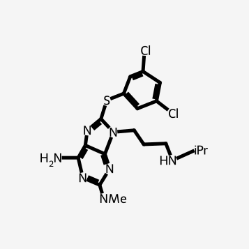 CNc1nc(N)c2nc(Sc3cc(Cl)cc(Cl)c3)n(CCCNC(C)C)c2n1